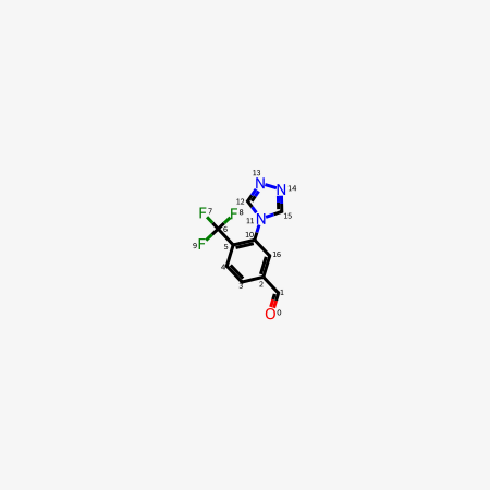 O=Cc1ccc(C(F)(F)F)c(-n2cnnc2)c1